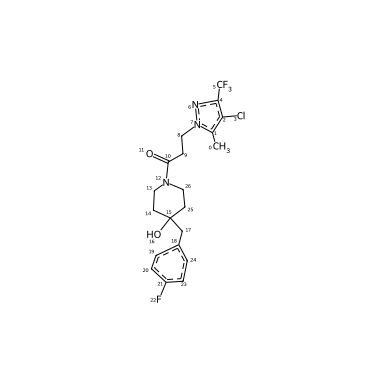 Cc1c(Cl)c(C(F)(F)F)nn1CCC(=O)N1CCC(O)(Cc2ccc(F)cc2)CC1